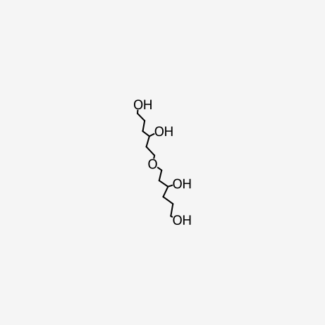 OCCCC(O)CCOCCC(O)CCCO